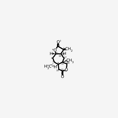 C=C1C(=O)O[C@H]2C[C@@H](C)[C@@H]3CC(=O)OC[C@@]3(C)C[C@H]12